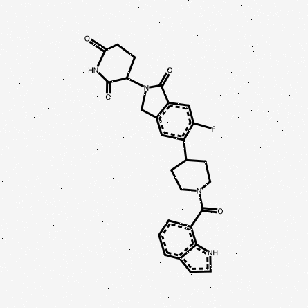 O=C1CCC(N2Cc3cc(C4CCN(C(=O)c5cccc6cc[nH]c56)CC4)c(F)cc3C2=O)C(=O)N1